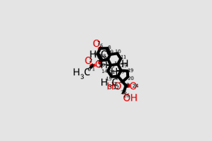 CC(=O)OC1=CC(=O)C=C2CC[C@@H]3[C@H](CC[C@@]4(C)[C@H]3CC[C@]4(O)C(=O)CO)[C@]21C